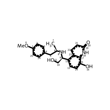 COc1ccc(C[C@@H](C)N[C@H](CO)c2ccc(O)c3[nH]c(=O)ccc23)cc1